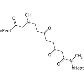 CCCCCCCN(C)C(=O)CC(=O)CCC(=O)CCN(C)CC(=O)CCCCC